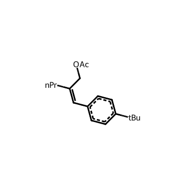 CCCC(=Cc1ccc(C(C)(C)C)cc1)COC(C)=O